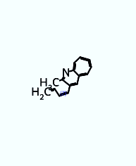 C=C/C=C\c1cc2c(nc1C)=CC=C=CC=2